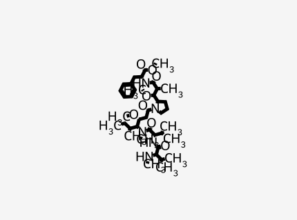 CCC(C)C(C(CC(=O)N1CCCC1C(OC)C(C)C(=O)NC(Cc1ccccc1)C(=O)OC)OC)N(C)C(=O)[C@@H](NC(=O)C(NC)C(C)C)C(C)C